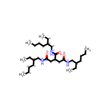 CCCCC(CC)CNC(=O)CC(CC(=O)NCC(CC)CCCC)C(=O)NCC(CC)CCCC